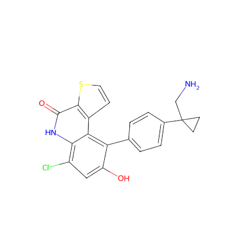 NCC1(c2ccc(-c3c(O)cc(Cl)c4[nH]c(=O)c5sccc5c34)cc2)CC1